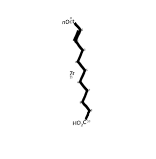 CCCCCCCCC=CCCCCCCCC(=O)O.[Zr]